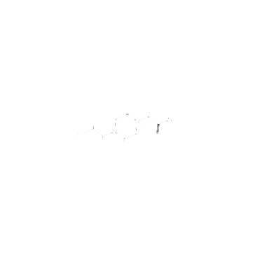 NC(=O)CN1CCN(CCO)CC1